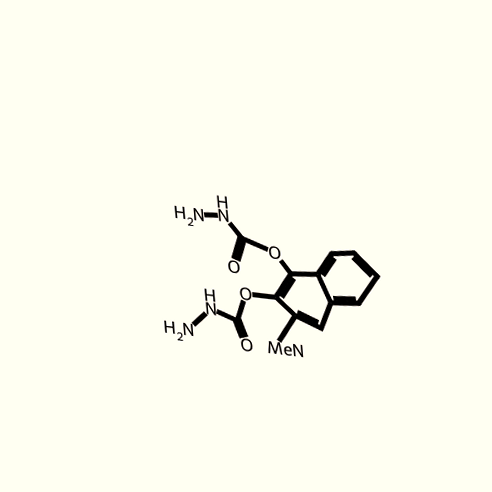 CNc1cc2ccccc2c(OC(=O)NN)c1OC(=O)NN